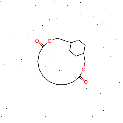 O=C1CCCCCCCCC(=O)OCC2CCC(CC2)CO1